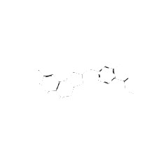 COC(=O)c1cnc(SC2CC3CNC(N)=C(/C=C(\N)Cl)N3C2)cc1C